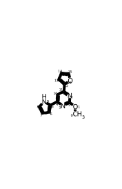 COc1nc(-c2ccc[nH]2)cc(-c2ccco2)n1